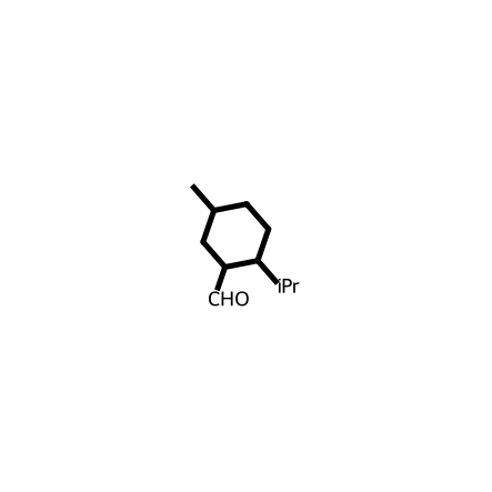 CC1CCC(C(C)C)C(C=O)C1